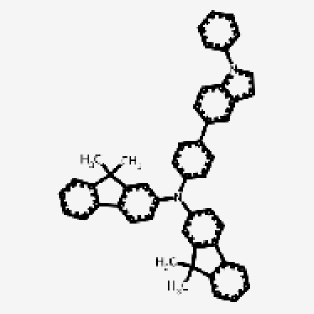 CC1(C)c2ccccc2-c2ccc(N(c3ccc(-c4ccc5c(ccn5-c5ccccc5)c4)cc3)c3ccc4c(c3)C(C)(C)c3ccccc3-4)cc21